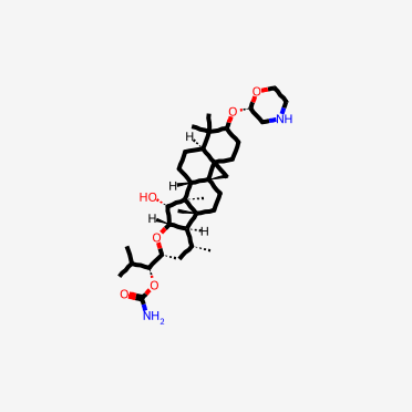 CC(C)[C@@H](OC(N)=O)[C@H]1C[C@@H](C)[C@H]2[C@H](O1)[C@H](O)[C@@]1(C)[C@@H]3CC[C@H]4C(C)(C)C(O[C@H]5CNCCO5)CCC45C[C@@]35CC[C@]21C